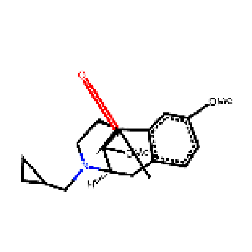 COc1ccc2c(c1)[C@]13CCN(CC4CC4)[C@H](C2)C1(OC)CCC(=O)C3